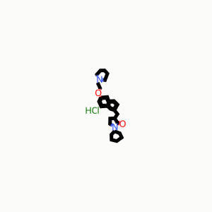 Cl.O=C1C(Cc2ccc3cc(OCCN4CCCCC4)ccc3c2)CCN1C1CCCCC1